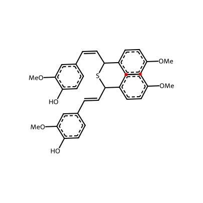 COc1ccc(C(C=Cc2ccc(O)c(OC)c2)SC(/C=C\c2ccc(O)c(OC)c2)c2ccc(OC)cc2)cc1